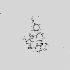 Cc1cc(Nc2ncc(Cl)c(N(C)C3CCN(c4ccc(C#N)cn4)CC3)n2)nn1C